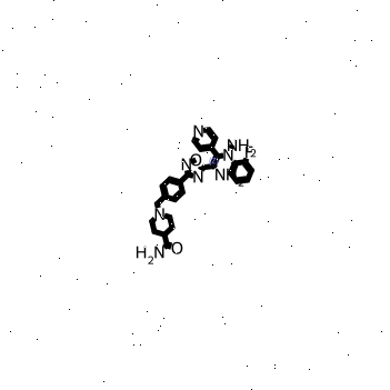 NC(=O)C1CCN(Cc2ccc(-c3noc(/C(N)=C(\c4ccncc4)N(N)c4ccccc4F)n3)cc2)CC1